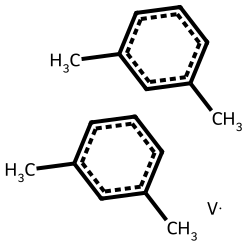 Cc1cccc(C)c1.Cc1cccc(C)c1.[V]